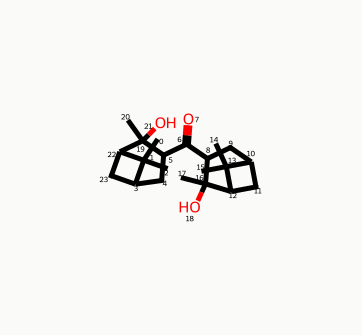 CC1(C)C2CC(C(=O)C3CC4CC(C4(C)C)C3(C)O)C(C)(O)C1C2